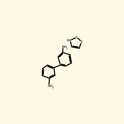 C1=CSSN1.Nc1cccc(-c2cccc(N)c2)c1